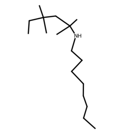 CCCCCCCCNC(C)(C)CC(C)(C)CC